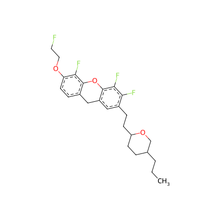 CCCC1CCC(CCc2cc3c(c(F)c2F)Oc2c(ccc(OCCF)c2F)C3)OC1